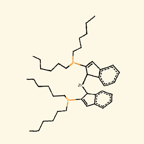 CCCCCCP(CCCCCC)C1=Cc2ccccc2[CH]1[Zr][CH]1C(P(CCCCCC)CCCCCC)=Cc2ccccc21